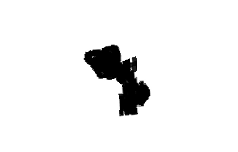 N#CC1CCCN1C(=O)CN1CC[C@H](NC(=O)c2coc3cccc(O)c23)C1